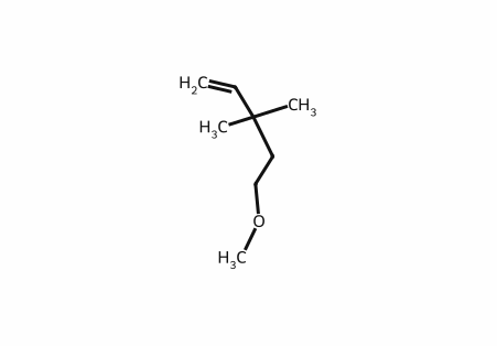 C=CC(C)(C)CCOC